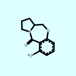 Nc1cccc2c1C(=O)N1CCCC1CO2